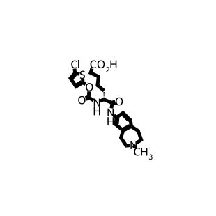 CN1CCc2ccc(NC(=O)[C@@H](CCCCC(=O)O)NC(=O)Oc3ccc(Cl)s3)cc2CC1